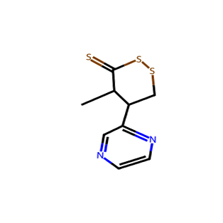 CC1C(=S)SSCC1c1cnccn1